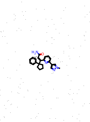 Cn1cc(-c2cccc(C(=C(C#N)C(N)=O)C3(c4ccccc4)CCCC3)n2)cn1